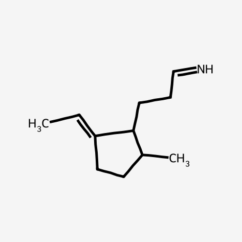 C/C=C1\CCC(C)C1CCC=N